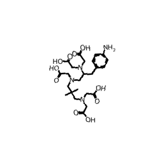 CC(C)(CN(CC(=O)O)CC(=O)O)CN(CC(=O)O)CC(Cc1ccc(N)cc1)N(CC(=O)O)CC(=O)O